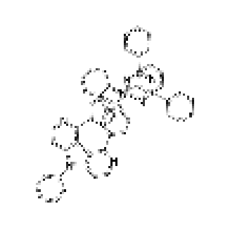 c1ccc(-c2nc(-c3ccccc3)nc(-c3ccc(-c4nccc5c4c4c(-c6ccc7c(c6)c6ccccc6n7-c6ccccc6)nccc4n5-c4ccccc4)cc3)n2)cc1